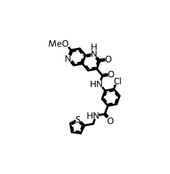 COc1cc2[nH]c(=O)c(C(=O)Nc3cc(C(=O)NCc4cccs4)ccc3Cl)cc2cn1